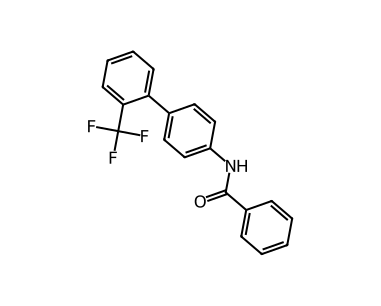 O=C(Nc1ccc(-c2ccccc2C(F)(F)F)cc1)c1ccccc1